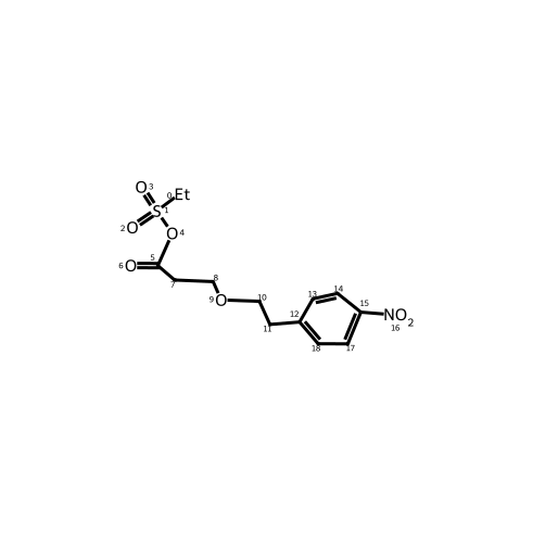 CCS(=O)(=O)OC(=O)CCOCCc1ccc([N+](=O)[O-])cc1